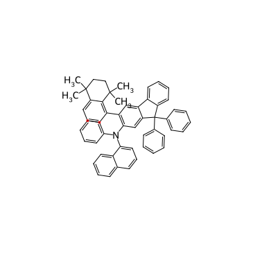 CC1(C)CCC(C)(C)c2c(-c3cc4c(cc3N(c3ccccc3)c3cccc5ccccc35)C(c3ccccc3)(c3ccccc3)c3ccccc3-4)cccc21